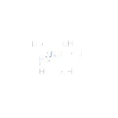 CCCCC(CC)CNN(CCC)NCC(CC)CCCC